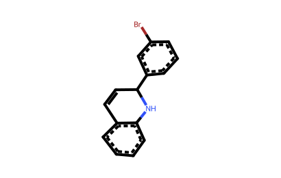 Brc1cccc(C2C=Cc3ccccc3N2)c1